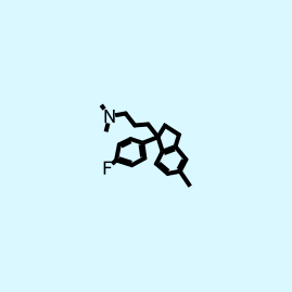 Cc1ccc2c(c1)CCC2(CCCN(C)C)c1ccc(F)cc1